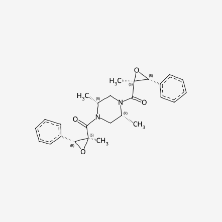 C[C@@H]1CN(C(=O)[C@@]2(C)O[C@@H]2c2ccccc2)[C@H](C)CN1C(=O)[C@@]1(C)O[C@@H]1c1ccccc1